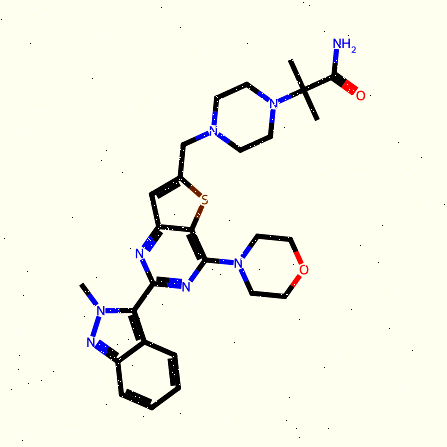 Cn1nc2ccccc2c1-c1nc(N2CCOCC2)c2sc(CN3CCN(C(C)(C)C(N)=O)CC3)cc2n1